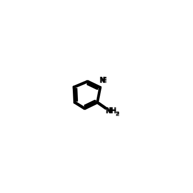 Nc1ccccc1.[N]